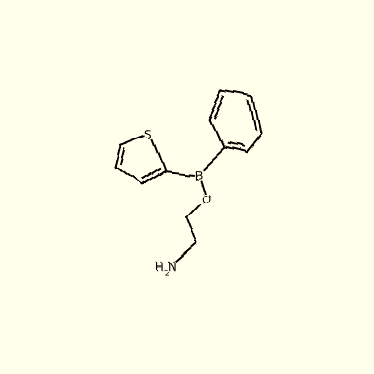 NCCOB(c1ccccc1)c1cccs1